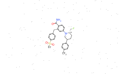 CCS(=O)(=O)c1ccc(Cc2cc(N3CC(c4ccc(C(F)(F)F)cc4)CC[C@H]3CF)ccc2C(N)=O)cc1